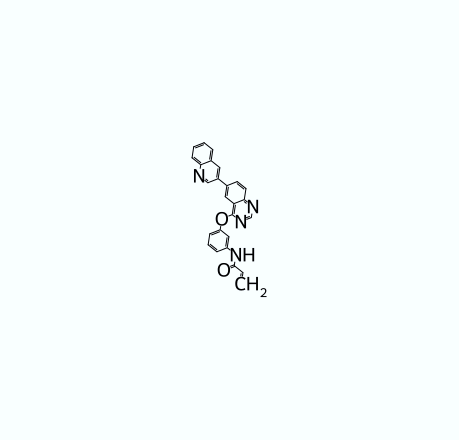 C=CC(=O)Nc1cccc(Oc2ncnc3ccc(-c4cnc5ccccc5c4)cc23)c1